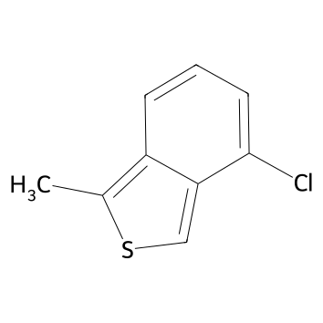 Cc1scc2c(Cl)cccc12